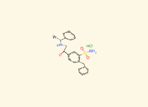 CC(C)C(NCC(=O)c1ccc(Cc2ccccc2)c(S(N)(=O)=O)c1)c1ccccc1.Cl